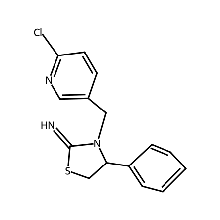 N=C1SCC(c2ccccc2)N1Cc1ccc(Cl)nc1